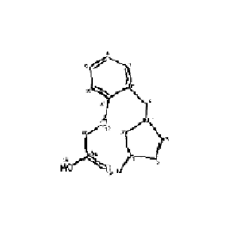 CC1CCN(Cc2ccccc2OCC(=O)O)C1